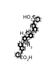 Cc1c(Nc2nccc3cc(CN4CCCCC4C(=O)O)cnc23)cccc1-c1cccc(Nc2nccc3cc(CN4CCCCC4C(=O)O)cnc23)c1C